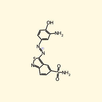 Nc1cc(/N=N/c2snc3ccc(S(N)(=O)=O)cc23)ccc1O